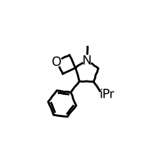 CC(C)C1CN(C)C2(COC2)C1c1ccccc1